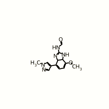 COC1=CC=C(c2cnn(C)c2)C2N=C(NC=O)NC12